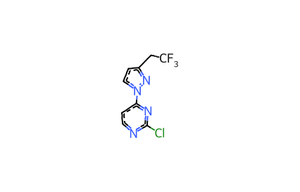 FC(F)(F)Cc1ccn(-c2ccnc(Cl)n2)n1